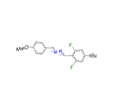 CCCCc1cc(F)c(/C=N/N=C/c2ccc(OC)cc2)c(F)c1